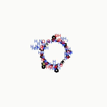 CCCC[C@H]1C(=O)N2CCC[C@@H]2C(=O)N[C@@H](CCCNC(=N)N)C(=O)N[C@H](C(=O)NCC(N)=O)CSCC(=O)N[C@@H](Cc2ccc(O)cc2)C(=O)N(C)[C@@H](C)C(=O)N[C@@H](CC(N)=O)C(=O)N2CCC[C@H]2C(=O)N[C@@H](Cc2cnc[nH]2)C(=O)N[C@@H](CC(C)C)C(=O)NCCCCC(=O)N[C@@H](Cc2c[nH]c3ccccc23)C(=O)N[C@@H](CO)C(=O)N[C@@H](Cc2csc3ccccc23)C(=O)N1C